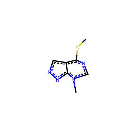 CSc1ncn(C)c2nncc1-2